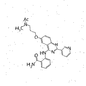 CC(=O)N(C)CCCOc1ccc2nc(-c3cccnc3)nc(Nc3ccccc3C(N)=O)c2c1